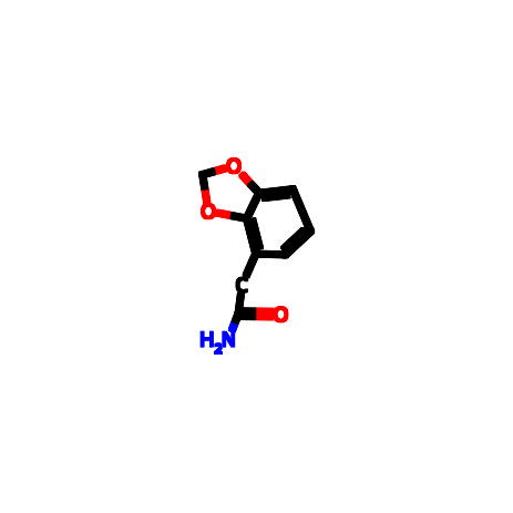 NC(=O)Cc1cccc2c1OCO2